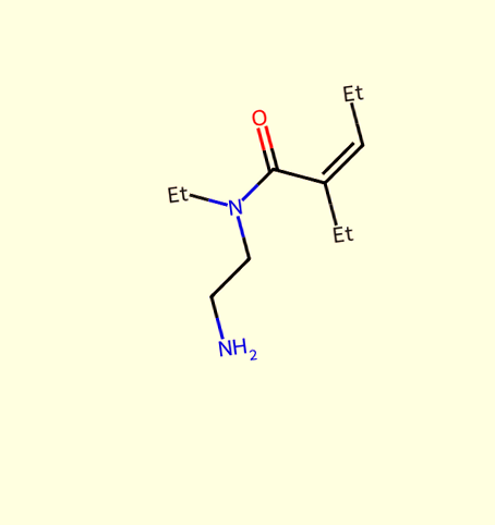 CCC=C(CC)C(=O)N(CC)CCN